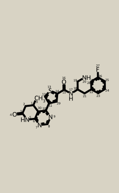 CC1CC(=O)Nc2ncnc(-c3csc(C(=O)NC(CN)Cc4cccc(F)c4)c3)c21